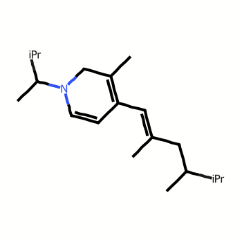 CC1=C(/C=C(\C)CC(C)C(C)C)C=CN(C(C)C(C)C)C1